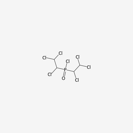 O=P(Cl)(C(Cl)C(Cl)Cl)C(Cl)C(Cl)Cl